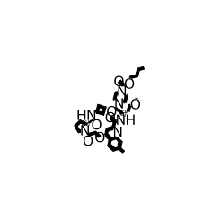 CCCCOC(=O)N1CCN(C(=O)[C@H](CCOC)NC(=O)c2cc(OCC(=O)N3CCC[C@H]3C(=O)NC3CCC3)c3ccc(C)cc3n2)CC1